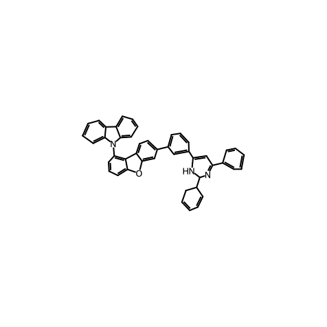 C1=CCC(C2N=C(c3ccccc3)C=C(c3cccc(-c4ccc5c(c4)oc4cccc(-n6c7ccccc7c7ccccc76)c45)c3)N2)C=C1